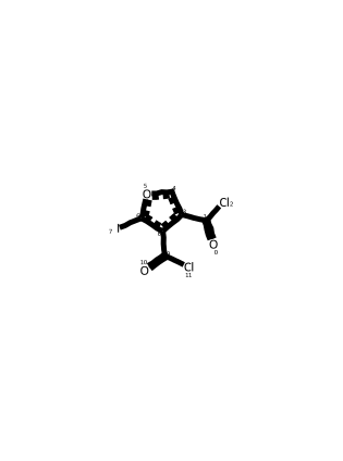 O=C(Cl)c1coc(I)c1C(=O)Cl